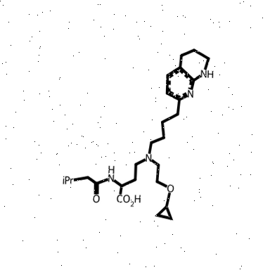 CC(C)CC(=O)NC(CCN(CCCCc1ccc2c(n1)NCCC2)CCOC1CC1)C(=O)O